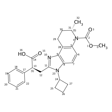 COC(=O)N1c2ccc3c(nc(C[C@H](C(=O)O)c4ccccc4)n3C3CCC3)c2CC[C@@H]1C